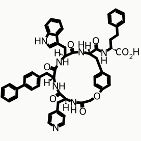 O=C1COc2ccc(cc2)C[C@@H](C(=O)N[C@H](CCc2ccccc2)C(=O)O)NC(=O)[C@H](Cc2c[nH]c3ccccc23)NC(=O)[C@@H](Cc2ccc(-c3ccccc3)cc2)NC(=O)[C@H](Cc2ccncc2)N1